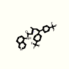 C/C(C=C(c1ccc(C(F)(F)F)cc1)c1ccc(C(F)(F)F)cc1)=C\C(=O)Nc1cccc2cnccc12